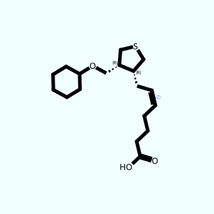 O=C(O)CCC/C=C\C[C@H]1CSC[C@H]1COC1CCCCC1